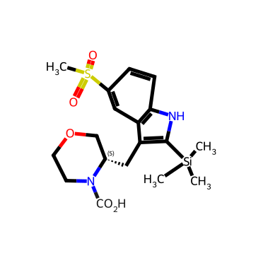 C[Si](C)(C)c1[nH]c2ccc(S(C)(=O)=O)cc2c1C[C@H]1COCCN1C(=O)O